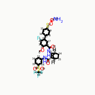 COc1cc(F)c(-c2ccc(SOON)cc2)cc1C(=O)N[C@@H]1[C@H]2CC[C@H](C2)[C@@H]1C(=O)Nc1cccc(S(=O)(=O)C(F)(F)F)c1